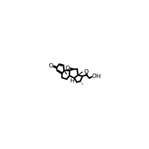 C[C@@H]1C[C@H]2C3CCC4=CC(=O)C=C[C@]4(C)C34OC4C[C@]2(C)C1C(=O)CO